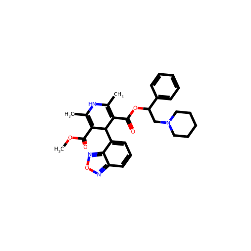 COC(=O)C1=C(C)NC(C)=C(C(=O)OC(CN2CCCCC2)c2ccccc2)C1c1cccc2nonc12